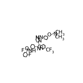 CN(C)CCOc1cccc(Nc2nccc(-c3c(-c4cccc(NC(=O)c5c(F)cccc5F)c4)nn4cc(C(F)(F)F)ccc34)n2)c1